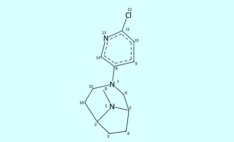 CN1C2CCC1CN(c1ccc(Cl)nc1)CC2